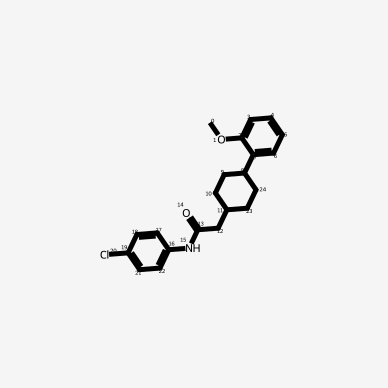 COc1ccccc1C1CCC(CC(=O)Nc2ccc(Cl)cc2)CC1